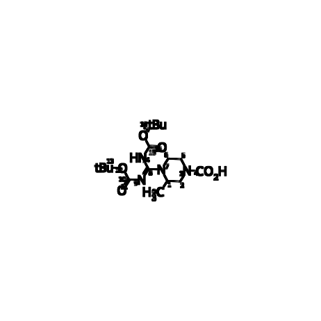 CC1CN(C(=O)O)CCN1C(=NC(=O)OC(C)(C)C)NC(=O)OC(C)(C)C